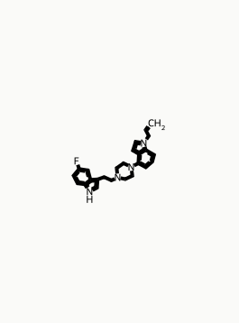 C=CCn1ccc2c(N3CCN(CCc4c[nH]c5ccc(F)cc45)CC3)cccc21